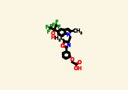 Cc1oc(-c2cccc(OCC(=O)O)c2)nc1Cn1c(C)cc2cc(C(O)(C(F)(F)F)C(F)(F)F)ccc21